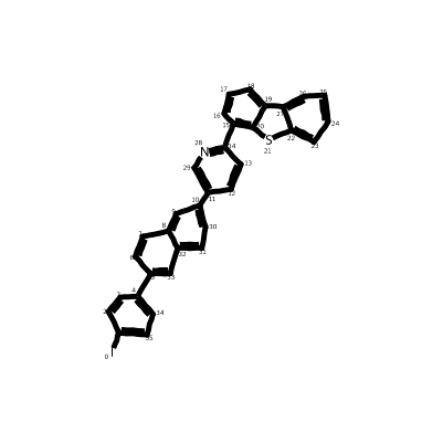 Ic1ccc(-c2ccc3cc(-c4ccc(-c5cccc6c5sc5ccccc56)nc4)ccc3c2)cc1